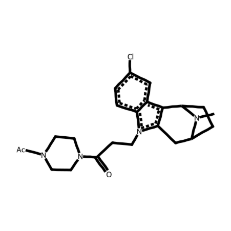 CC(=O)N1CCN(C(=O)CCn2c3c(c4cc(Cl)ccc42)C2CCC(C3)N2C)CC1